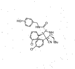 CC(C)(C)C[C@@H]1N[C@@H](C(=O)NCc2ccc(O)cc2)[C@H](c2cccc(Cl)c2)[C@@]1(C#N)c1ccc(Cl)cc1